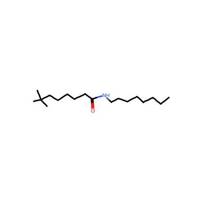 CCCCCCCCNC(=O)CCCCCC(C)(C)C